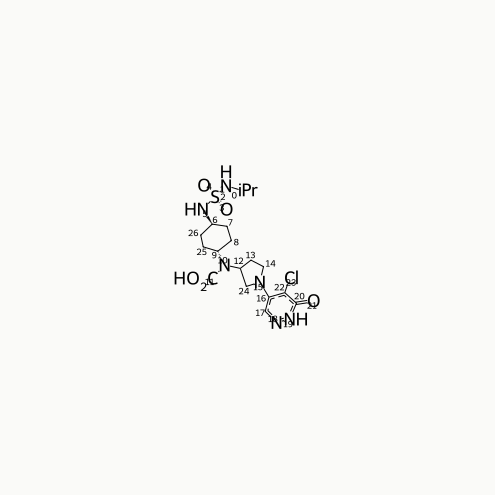 CC(C)NS(=O)(=O)N[C@H]1CC[C@H](N(C(=O)O)C2CCN(c3cn[nH]c(=O)c3Cl)C2)CC1